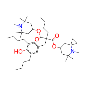 CCCCc1cc(CC(CCCC)(C(=O)OC2CC(C)(C)N(C)C(C)(C)C2)C(=O)OC2CC(C)(C)N(C)C3(CC3)C2)cc(CCCC)c1O